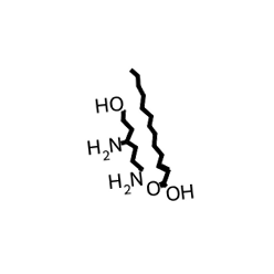 CCCCCCCCCCC=CC(=O)O.NCCCC(N)CCCO